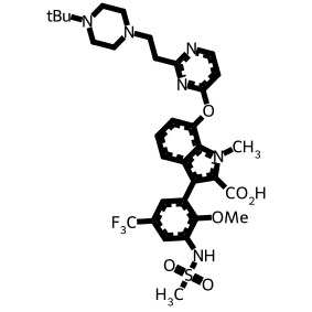 COc1c(NS(C)(=O)=O)cc(C(F)(F)F)cc1-c1c(C(=O)O)n(C)c2c(Oc3ccnc(CCN4CCN(C(C)(C)C)CC4)n3)cccc12